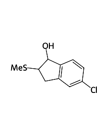 CSC1Cc2cc(Cl)ccc2C1O